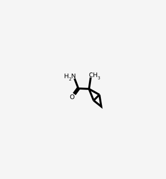 CC1(C(N)=O)C2CC21